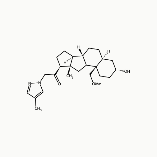 COC[C@]12CC[C@@H](O)C[C@@H]1CC[C@@H]1C2C[C@]2(C)[C@@H](C(=O)Cn3cc(C)cn3)CC[C@@H]12